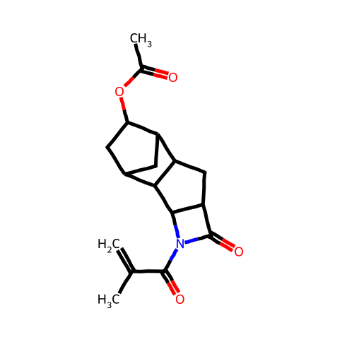 C=C(C)C(=O)N1C(=O)C2CC3C4CC(CC4OC(C)=O)C3C21